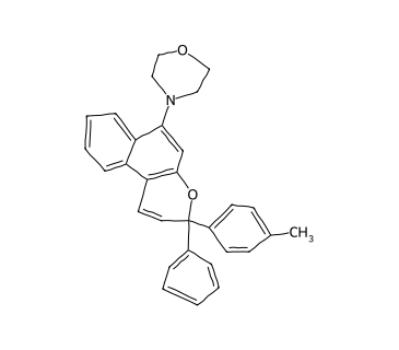 Cc1ccc(C2(c3ccccc3)C=Cc3c(cc(N4CCOCC4)c4ccccc34)O2)cc1